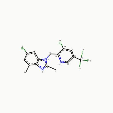 Cc1cc(Br)cc2c1nc(C)n2Cc1ncc(C(F)(F)F)cc1Cl